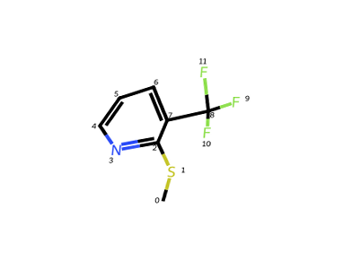 CSc1ncccc1C(F)(F)F